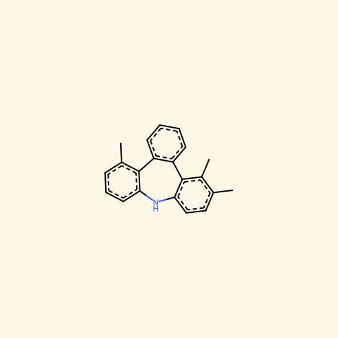 Cc1ccc2c(c1C)-c1ccccc1-c1c(C)cccc1N2